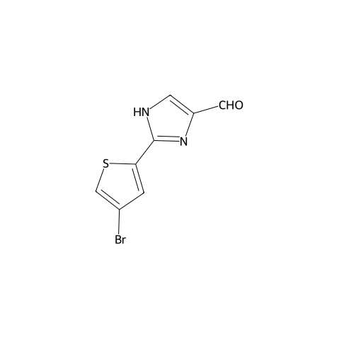 O=Cc1c[nH]c(-c2cc(Br)cs2)n1